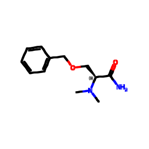 CN(C)[C@@H](COCc1ccccc1)C(N)=O